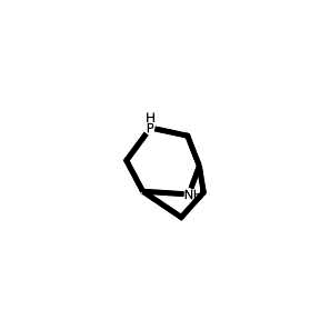 C1CC2CPCC1N2